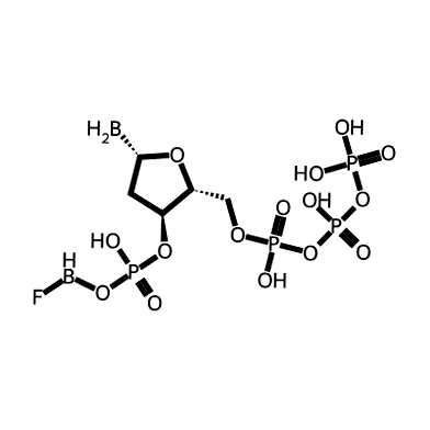 B[C@H]1C[C@H](OP(=O)(O)OBF)[C@@H](COP(=O)(O)OP(=O)(O)OP(=O)(O)O)O1